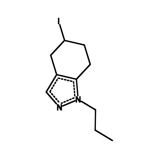 CCCn1ncc2c1CCC(I)C2